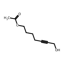 CC(=O)OCCCCC#CCO